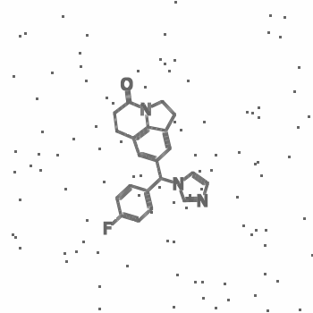 O=C1CCc2cc(C(c3ccc(F)cc3)n3ccnc3)cc3c2N1CC3